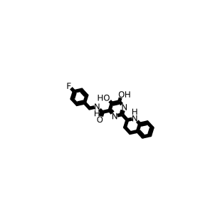 O=C(NCc1ccc(F)cc1)c1nc(C2CCc3ccccc3N2)nc(O)c1O